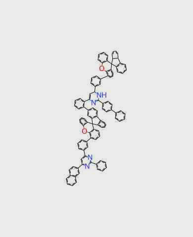 C1=CC2c3ccccc3C3(c4ccccc4Oc4c(-c5cccc(C6C=C(c7ccccc7-c7ccc8c(c7)C7(c9ccccc9Oc9c(-c%10cccc(-c%11cc(-c%12ccc%13ccccc%13c%12)nc(-c%12ccccc%12)n%11)c%10)cccc97)c7ccccc7-8)N=C(c7ccc(-c8ccccc8)cc7)N6)c5)cccc43)C2C=C1